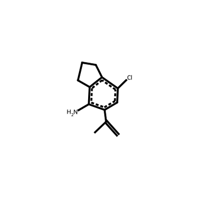 C=C(C)c1cc(Cl)c2c(c1N)CCC2